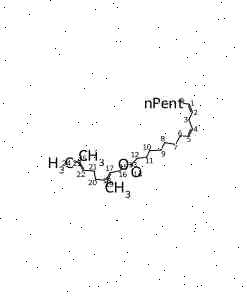 CCCCC/C=C\C/C=C\CCCCCCCC(=O)OC/C=C(\C)CCC=C(C)C